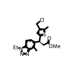 CCn1nnc2c(C)c([C@H](CC(=O)OC)c3cc(CCl)c(C)s3)ccc21